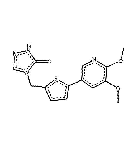 COc1cc(-c2ccc(Cn3cn[nH]c3=O)s2)cnc1OC